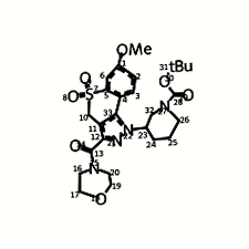 COc1ccc2c(c1)S(=O)(=O)Cc1c(C(=O)N3CCOCC3)nn(C3CCCN(C(=O)OC(C)(C)C)C3)c1-2